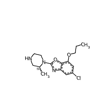 CCCOc1cc(Cl)cc2nc(N3CCNC[C@@H]3C)oc12